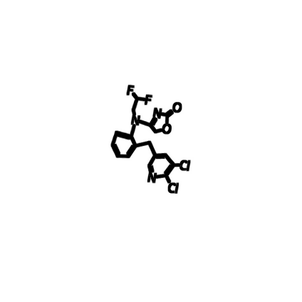 O=C1N=C(N(CC(F)F)c2ccccc2Cc2cnc(Cl)c(Cl)c2)CO1